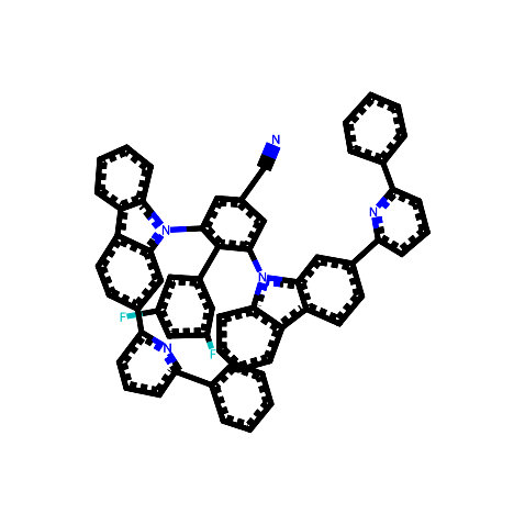 N#Cc1cc(-n2c3ccccc3c3ccc(-c4cccc(-c5ccccc5)n4)cc32)c(-c2cc(F)cc(F)c2)c(-n2c3ccccc3c3ccc(-c4cccc(-c5ccccc5)n4)cc32)c1